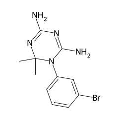 CC1(C)N=C(N)N=C(N)N1c1cccc(Br)c1